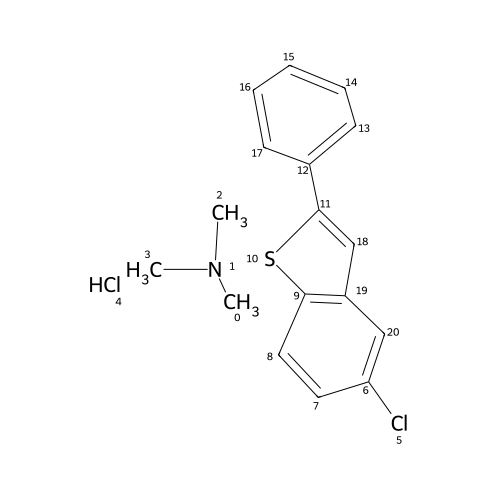 CN(C)C.Cl.Clc1ccc2sc(-c3ccccc3)cc2c1